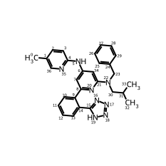 Cc1ccc(Nc2cc(-c3ccccc3-c3nnn[nH]3)nc(N(Cc3ccccc3)CC(C)C)c2)nc1